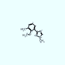 [CH2]c1cccc(-c2ncn(C)n2)c1OC